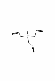 C=C[CH2][Ti]([I])([CH2]C=C)[CH2]C=C